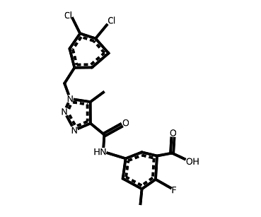 Cc1cc(NC(=O)c2nnn(Cc3ccc(Cl)c(Cl)c3)c2C)cc(C(=O)O)c1F